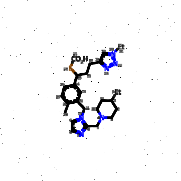 CCC1CCN(Cc2nccn2Cc2cc(C(CCc3cn(CC)nn3)SC(=O)O)ccc2C)CC1